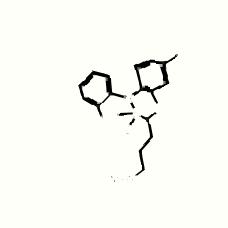 CNCCCC1Oc2cc(F)ccc2N(c2ccccc2F)S1(O)O.Cl